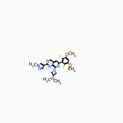 COc1cc(OC)c(F)c(-c2cc3cnc(-c4cnn(C)c4)nc3c(N3CC(N(C)C)C3)n2)c1F